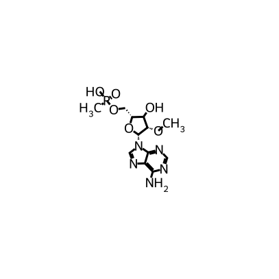 CO[C@H]1C(O)[C@@H](COP(C)(=O)O)O[C@H]1n1cnc2c(N)ncnc21